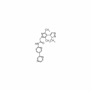 Cc1nn(CC(=O)Nc2ccc(-c3cnccn3)cn2)c(C)c1C1=CN=NC1C